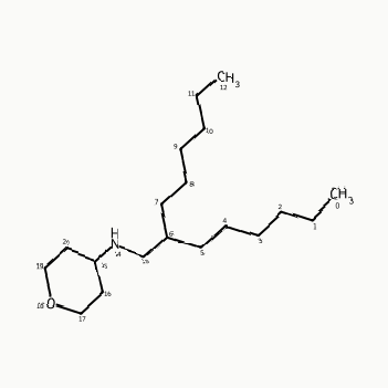 CCCCCCC(CCCCCC)CNC1CCOCC1